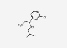 CC(C)CNC(CN)c1cccc(Cl)c1